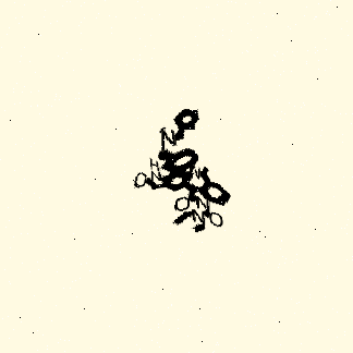 CCN(CC)C(=O)N1C(=O)C(c2ccc3c(c2)CC(=O)N3)C2=C1C=CCC2=C(C)Nc1ccc(CN(C)Cc2ccccc2)cc1